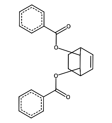 O=C(OC1C2C=CC(CC2)C1OC(=O)c1ccccc1)c1ccccc1